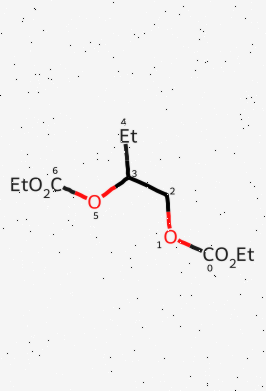 CCOC(=O)OCC(CC)OC(=O)OCC